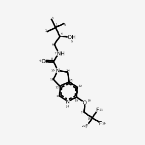 CC(C)(C)[C@@H](O)CNC(=O)N1Cc2cnc(OCC(F)(F)F)cc2C1